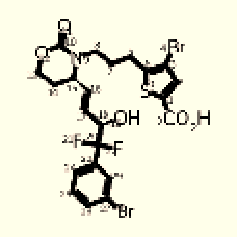 O=C(O)c1cc(Br)c(CCCN2C(=O)OCC[C@@H]2C=C[C@@H](O)C(F)(F)c2cccc(Br)c2)s1